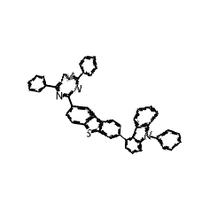 c1ccc(-c2nc(-c3ccccc3)nc(-c3ccc4sc5cc(-c6cccc7c6c6ccccc6n7-c6ccccc6)ccc5c4c3)n2)cc1